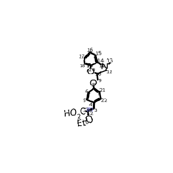 CCO/C(=C/c1ccc(OCC2CN(C)c3ccccc3O2)cc1)C(=O)O